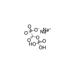 O=C(OP(=O)(O)O)P(=O)([O-])[O-].[Na+].[Na+]